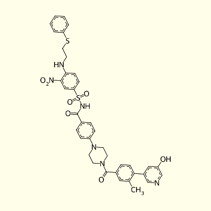 Cc1cc(C(=O)N2CCN(c3ccc(C(=O)NS(=O)(=O)c4ccc(NCCSc5ccccc5)c([N+](=O)[O-])c4)cc3)CC2)ccc1-c1cncc(O)c1